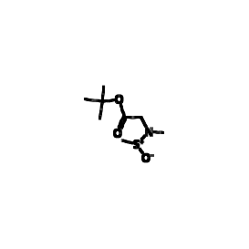 CN(CC(=O)OC(C)(C)C)[S+](C)[O-]